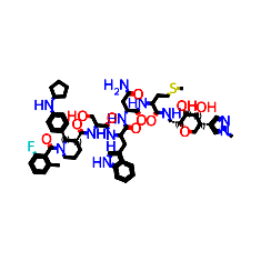 CSCCC(NC(=O)C(CC(N)=O)NC(=O)C(Cc1c[nH]c2ccccc12)NC(=O)C(CO)NC(=O)[C@H]1CCCN(C(=O)c2c(C)cccc2F)[C@H]1c1ccc(NC2CCCC2)cc1)C(=O)NC[C@H]1OC[C@@H](c2cnn(C)c2)[C@@H](O)[C@H]1O